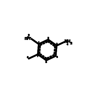 CCCc1cc(N)ccc1C